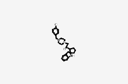 O=C(CN1CCN(Cc2ccc(Cl)cc2)CC1)C1CCCC12Cc1ccccc1N2